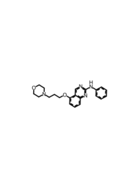 c1ccc(Nc2ncc3c(OCCCN4CCOCC4)cccc3n2)cc1